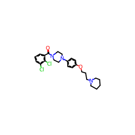 O=C(c1cccc(Cl)c1Cl)N1CCN(c2ccc(OCCCN3CCCCC3)cc2)CC1